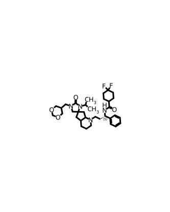 CC(C)N1C(=O)N(CC2COCOC2)CC12CC1CCCN(CC[C@H](NC(=O)C3CCC(F)(F)CC3)c3ccccc3)C1C2